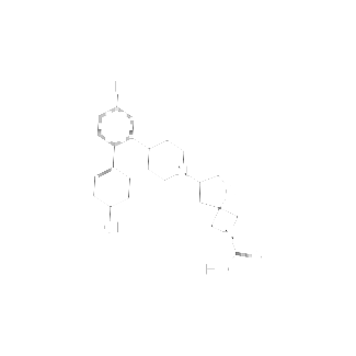 O=C(O)N1CC2(CC(N3CCC(c4cc(F)ccc4C4=CCC(O)CC4)CC3)CO2)C1